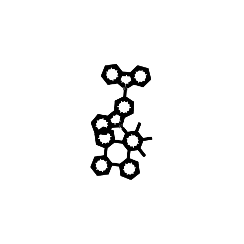 Cc1c(C)c2c(c(-n3c4ccccc4c4cc(-n5c6ccccc6c6ccccc65)ccc43)c1C)-c1ccccc1-c1ccccc1-c1ccccc1-2